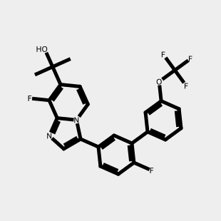 CC(C)(O)c1ccn2c(-c3ccc(F)c(-c4cccc(OC(F)(F)F)c4)c3)cnc2c1F